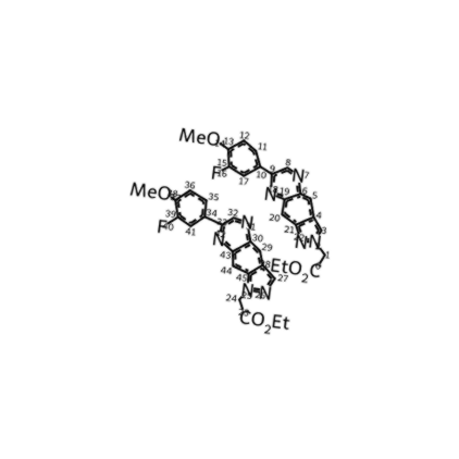 CCOC(=O)Cn1cc2cc3ncc(-c4ccc(OC)c(F)c4)nc3cc2n1.CCOC(=O)Cn1ncc2cc3ncc(-c4ccc(OC)c(F)c4)nc3cc21